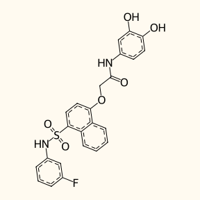 O=C(COc1ccc(S(=O)(=O)Nc2cccc(F)c2)c2ccccc12)Nc1ccc(O)c(O)c1